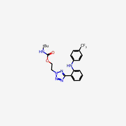 CC(C)(C)NC(=O)OCCn1nnc(-c2ccccc2Nc2ccc(C(F)(F)F)cc2)n1